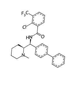 CN1CCCC[C@H]1[C@@H](NC(=O)c1cccc(C(F)(F)F)c1Cl)c1ccc(-c2ccccc2)cc1